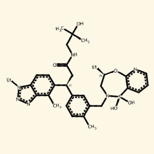 CC[C@@H]1CN(Cc2cc([C@H](CC(=O)NCC(C)(C)O)c3ccc4c(nnn4CC)c3C)ccc2C)S(O)(O)c2cccnc2O1